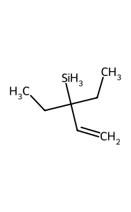 C=CC([SiH3])(CC)CC